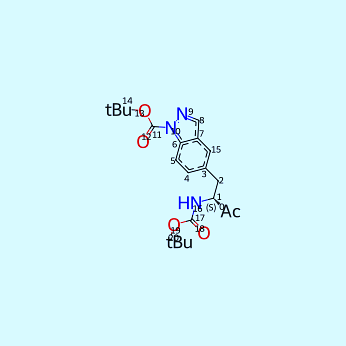 CC(=O)[C@H](Cc1ccc2c(cnn2C(=O)OC(C)(C)C)c1)NC(=O)OC(C)(C)C